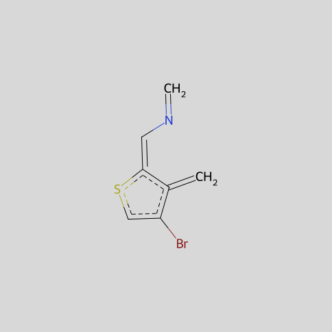 C=N/C=c1/scc(Br)c1=C